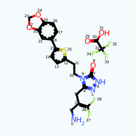 NCC(Cc1n[nH]c(=O)n1CCc1ccc(-c2ccc3c(c2)OCO3)s1)=C(F)F.O=C(O)C(F)(F)F